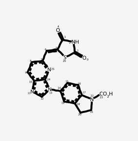 O=C1NC(=O)C(=Cc2ccc3ncn(-c4ccc5c(c4)CCN5C(=O)O)c3n2)S1